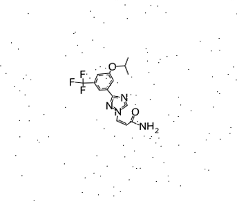 CC(C)Oc1cc(-c2ncn(/C=C\C(N)=O)n2)cc(C(F)(F)F)c1